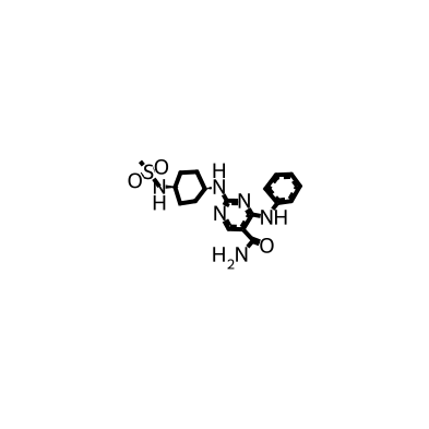 CS(=O)(=O)N[C@H]1CC[C@H](Nc2ncc(C(N)=O)c(Nc3ccccc3)n2)CC1